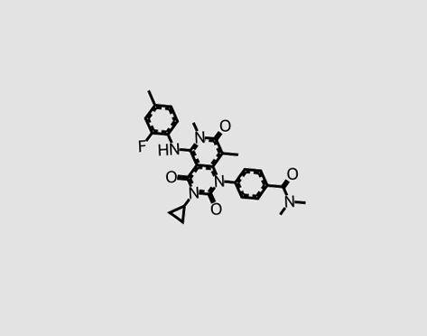 Cc1ccc(Nc2c3c(=O)n(C4CC4)c(=O)n(-c4ccc(C(=O)N(C)C)cc4)c3c(C)c(=O)n2C)c(F)c1